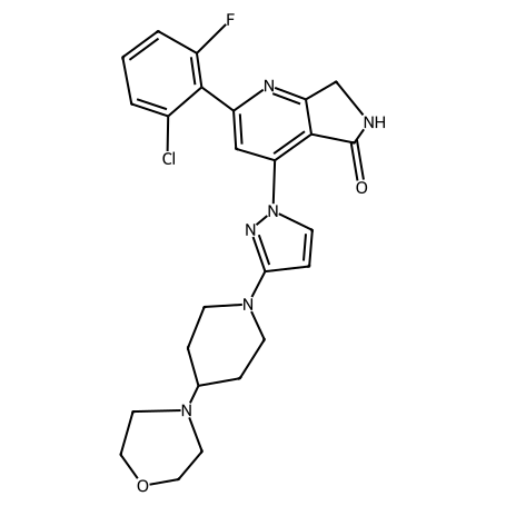 O=C1NCc2nc(-c3c(F)cccc3Cl)cc(-n3ccc(N4CCC(N5CCOCC5)CC4)n3)c21